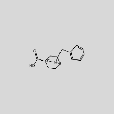 O=C(O)C12CCC(CC1)N(Cc1ccccc1)C2